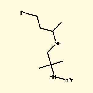 CCCNC(C)(C)CNC(C)CCC(C)C